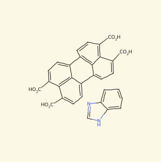 O=C(O)c1ccc2c3ccc(C(=O)O)c4c(C(=O)O)ccc(c5ccc(C(=O)O)c1c25)c43.c1ccc2[nH]cnc2c1